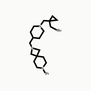 CCC(C)CC1(CN2CCC(CN3CC4(CCN(C(C)C)CC4)C3)CC2)CC1